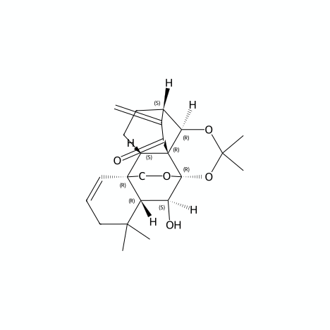 C=C1C(=O)[C@@]23[C@@H]4OC(C)(C)O[C@]25OC[C@]2(C=CCC(C)(C)[C@H]2[C@@H]5O)[C@@H]3CC[C@@H]14